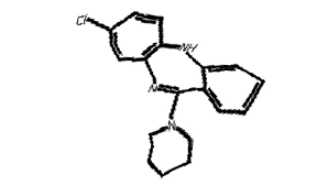 Clc1ccc2c(c1)N=C(N1CC[CH]CC1)c1ccccc1N2